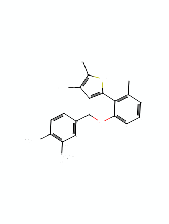 COc1ccc(COc2cccc(C)c2-c2cc(C=O)c(C)s2)cc1OC